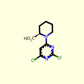 O=C(O)[C@H]1CCCCN1c1cc(Cl)nc(Cl)n1